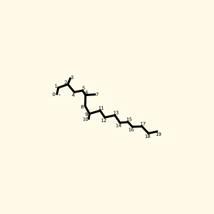 [CH2]CC(C)CCC(C)CC(C)CCCCCCCCC